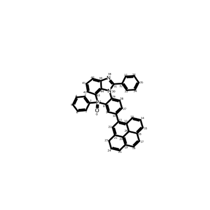 O=P1(c2ccccc2)c2cc(C3=C4C=CC=C5C=CC6=C(C(=C3)CC=C6)C54)ccc2-n2c(-c3ccccc3)nc3cccc1c32